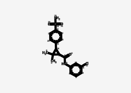 CC1(C)C(C(=O)Nc2cccc(Cl)c2)C1c1ccc(S(N)(=O)=O)cc1